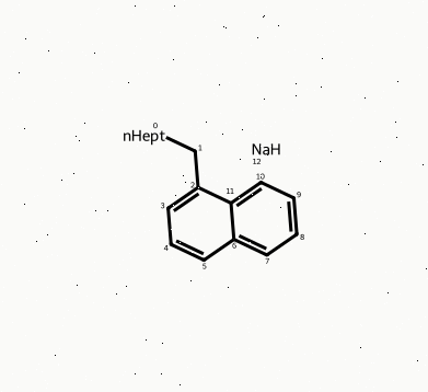 CCCCCCCCc1cccc2ccccc12.[NaH]